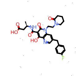 C[C@H](CC(=O)O)NC(=O)c1c(O)c2ncc(Cc3ccc(F)cc3)cc2n(CCN2CCCCC2=O)c1=O